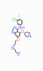 CN(C)CCN(C)CCCOc1cc(OC2CCN(C)CC2)c2c(Nc3ccc(F)c(Cl)c3)ncnc2c1